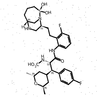 C[C@@H]1CC([C@H](c2ccc(F)cc2)[C@H](NC(=O)O)C(=O)Nc2cccc(F)c2CC[C@H]2CN[C@@H]3CCCS(O)(O)N2C3)C[C@@H](C)O1